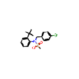 CC(C)(C)c1ccccc1N(Cc1ccc(Br)cc1)S(C)(=O)=O